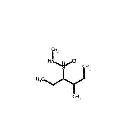 CCC(C)C(CC)[SiH](Cl)NC